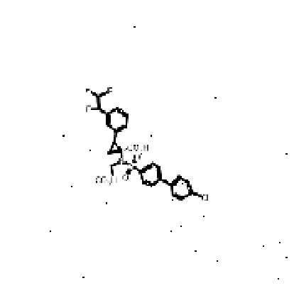 O=C(O)CN([C@]1(C(=O)O)C[C@H]1c1cccc(C(F)C(F)F)c1)S(=O)(=O)c1ccc(-c2ccc(Cl)cc2)cc1